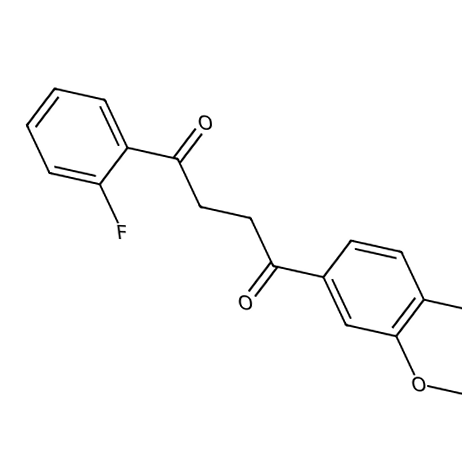 O=C(CCC(=O)c1ccccc1F)c1ccc2c(c1)OCCS2